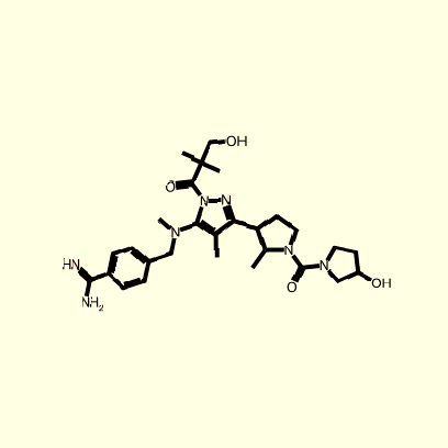 Cc1c(C2CCN(C(=O)N3CCC(O)C3)C2C)nn(C(=O)C(C)(C)CO)c1N(C)Cc1ccc(C(=N)N)cc1